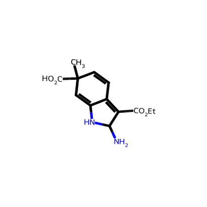 CCOC(=O)C1=C2C=CC(C)(C(=O)O)C=C2NC1N